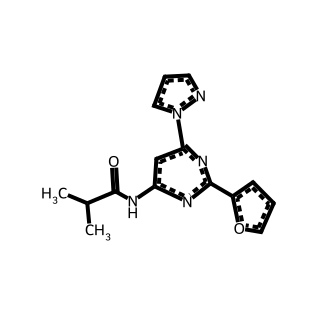 CC(C)C(=O)Nc1cc(-n2cccn2)nc(-c2ccco2)n1